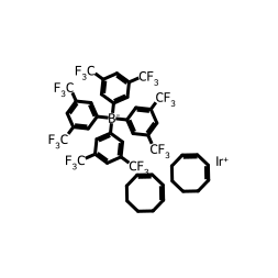 C1=C\CCCC\C=C/1.C1=C\CCCC\C=C/1.FC(F)(F)c1cc([B-](c2cc(C(F)(F)F)cc(C(F)(F)F)c2)(c2cc(C(F)(F)F)cc(C(F)(F)F)c2)c2cc(C(F)(F)F)cc(C(F)(F)F)c2)cc(C(F)(F)F)c1.[Ir+]